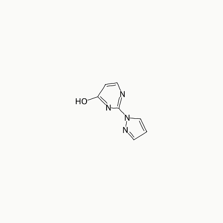 Oc1ccnc(-n2cccn2)n1